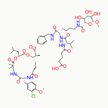 COc1ccc(C[C@H]2NC(=O)/C=C/C[C@@H]([C@H](C)[C@H]3O[C@@H]3c3ccc(CNC(=O)[C@H](CCCCNC(=O)[C@H]4O[C@@H](OC)[C@H](O)[C@@H](O)[C@@H]4O)NC(=O)[C@@H](NC(=O)CCCC(=O)O)C(C)C)cc3)OC(=O)[C@H](CC(C)C)OC(=O)C(C)(C)CNC2=O)cc1Cl